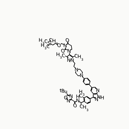 Cc1cc(-c2n[nH]c3ncc(-c4ccc(N5CCN(CCn6nc(C)c(N7CCC(=O)N(COCC[Si](C)(C)C)C7=O)c6C)CC5)cc4)cc23)ccc1C(C)NC(=O)c1noc(C(C)(C)C)n1